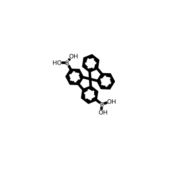 OB(O)c1ccc2c(c1)C1(c3ccccc3-c3ccccc31)c1cc(B(O)O)ccc1-2